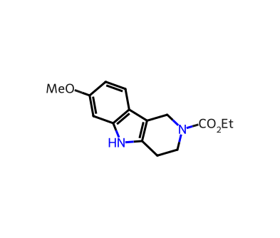 CCOC(=O)N1CCc2[nH]c3cc(OC)ccc3c2C1